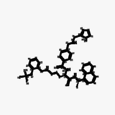 C[C@H](NC(=O)[C@H](CCCNCc1ccccc1OC(F)(F)F)NC(=O)c1ccc(CNCc2ncc[nH]2)cc1)c1cccc2ccccc12